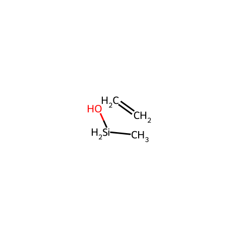 C=C.C[SiH2]O